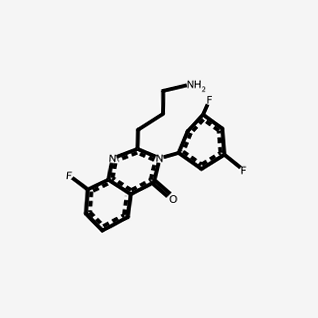 NCCCc1nc2c(F)cccc2c(=O)n1-c1cc(F)cc(F)c1